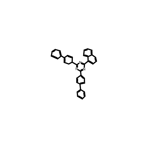 C1=CC(c2nc(-c3ccc(-c4ccccc4)cc3)nc(-c3cccc4ccccc34)n2)CC=C1c1ccccc1